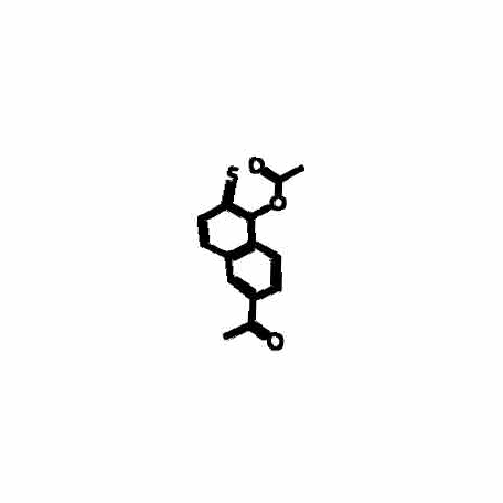 CC(=O)OC1C(=S)C=Cc2cc(C(C)=O)ccc21